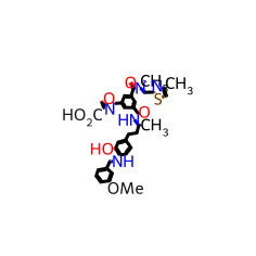 COc1cccc(CNc2ccc(CC[C@H](C)NC(=O)c3cc(C(=O)N(C)Cc4nc(C)cs4)cc(-c4nc(C(=O)O)co4)c3)cc2O)c1